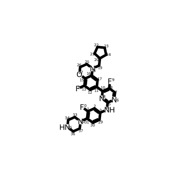 Fc1cc(Nc2ncc(F)c(-c3cc(F)c4c(c3)N(CC3CCCC3)CCO4)n2)ccc1N1CCNCC1